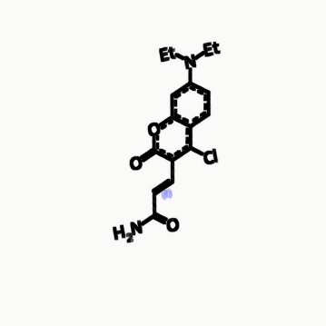 CCN(CC)c1ccc2c(Cl)c(/C=C/C(N)=O)c(=O)oc2c1